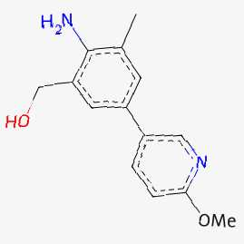 COc1ccc(-c2cc(C)c(N)c(CO)c2)cn1